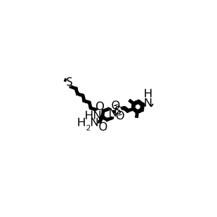 CNc1cc(C)c(/C=C/S(=O)(=O)N2CCC(NC(=O)CCCCCCCSC)(C(N)=O)CC2)c(C)c1